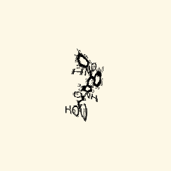 O=C(O)CCC(=O)Nc1ccc(/C=C(/C(=O)NC2CCCCC2)c2ccccc2)cc1